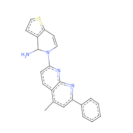 Cc1cc(-c2ccccc2)nc2nc(N3C=Cc4sccc4C3N)ccc12